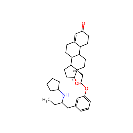 CCC(Cc1cccc(OCC[C@]23CCC4C5CCC(=O)C=C5CCC4C2CC[C@@H]3O)c1)NC1CCCC1